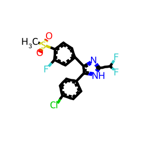 CS(=O)(=O)c1ccc(-c2nc(C(F)F)[nH]c2-c2ccc(Cl)cc2)cc1F